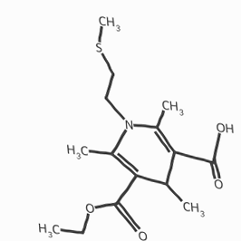 CCOC(=O)C1=C(C)N(CCSC)C(C)=C(C(=O)O)C1C